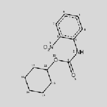 O=C(Nc1ccccc1[N+](=O)[O-])OC1CCCCC1